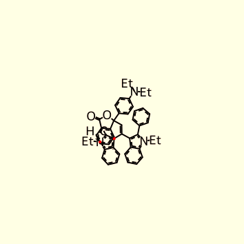 CCN(CC)c1ccc(C2(C=C(c3c(C)n(CC)c4ccccc34)c3c(-c4ccccc4)n(CC)c4ccccc34)OC(=O)c3ccccc32)cc1